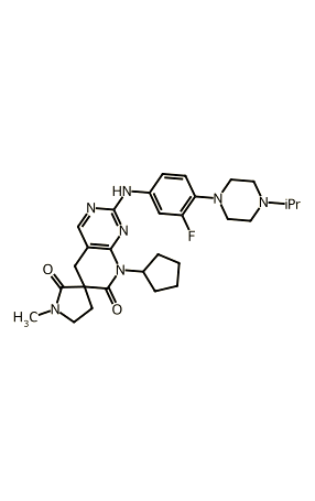 CC(C)N1CCN(c2ccc(Nc3ncc4c(n3)N(C3CCCC3)C(=O)C3(CCN(C)C3=O)C4)cc2F)CC1